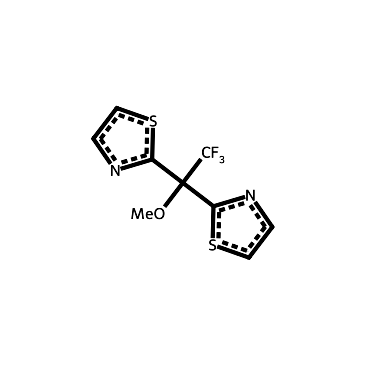 COC(c1nccs1)(c1nccs1)C(F)(F)F